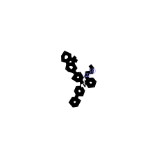 C/C=C\C=C/c1ccccc1N(c1ccc(C2=CC3C(C=C2)C2=C(CCCC2)C3(C)C)cc1)c1ccc(-c2ccccc2)cc1